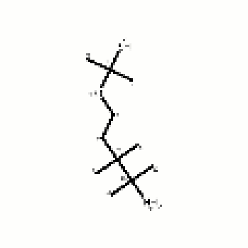 CC(C)(S)OCCC(C)(C)C(C)(C)N